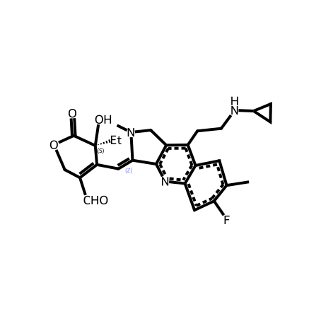 CC[C@@]1(O)C(=O)OCC(C=O)=C1/C=C1/c2nc3cc(F)c(C)cc3c(CCNC3CC3)c2CN1C